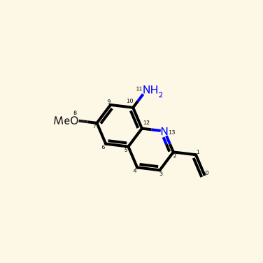 C=Cc1ccc2cc(OC)cc(N)c2n1